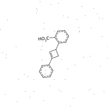 O=C(O)c1ccccc1C1C=C(c2ccccc2)C1